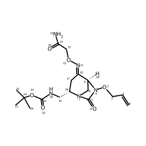 C=CCON1C(=O)N2C[C@H]1C(=NOCC(N)=O)C[C@H]2CNC(=O)OC(C)(C)C